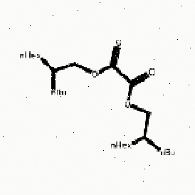 CCCCCCC(CCCC)COC(=O)C(=O)OCC(CCCC)CCCCCC